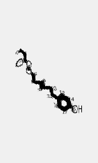 CCC(=O)OOCCCCCCc1ccc(O)cc1